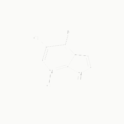 [O-][n+]1cc(Cl)c(F)c2cc[nH]c21